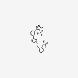 FC(F)(F)Cc1ccccc1CCn1cnc(-c2cc(-c3nn[nH]c3C(F)(F)F)ccn2)c1